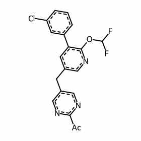 CC(=O)c1ncc(Cc2cnc(OC(F)F)c(-c3cccc(Cl)c3)c2)cn1